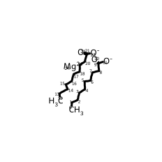 CCCCCCCCCC(=O)[O-].CCCCCCCCCC(=O)[O-].[Mg+2]